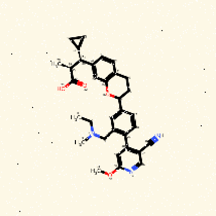 CCN(C)Cc1cc(C2CCc3ccc([C@H](C4CC4)[C@H](C)C(=O)O)cc3O2)ccc1-c1cc(OC)ncc1C#N